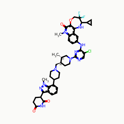 C[C@@H]1CN(c2ncc(Cl)c(Nc3ccc4c(c3)c3c(c(=O)n4C)OCC(F)(F)C(C4CC4)N3)n2)CC[C@H]1CN1CCC(c2cccc3c(C4CCC(=O)NC4=O)nn(C)c23)CC1